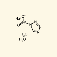 O.O.O=[N+]([O-])n1cnnn1.[Na+]